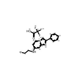 FCCNc1ccn2cc(-c3ccccc3)nc2c1.O=C(O)C(F)(F)F